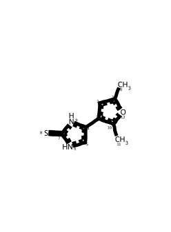 Cc1cc(-c2c[nH]c(=S)[nH]2)c(C)o1